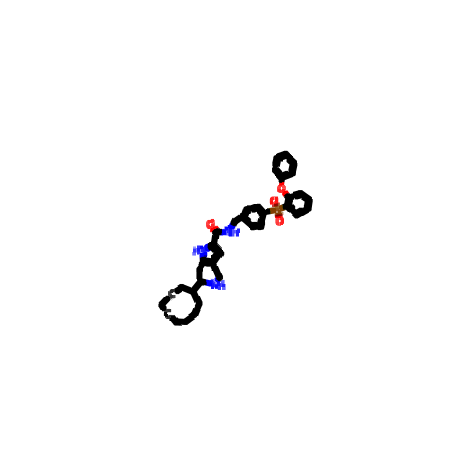 O=C(NCc1ccc(S(=O)(=O)c2ccccc2Oc2ccccc2)cc1)c1cc2c([nH]1)CC(C1CCCCCCCC1)NC2